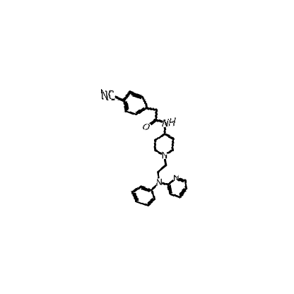 N#Cc1ccc(CC(=O)NC2CCN(CCN(c3ccccc3)c3ccccn3)CC2)cc1